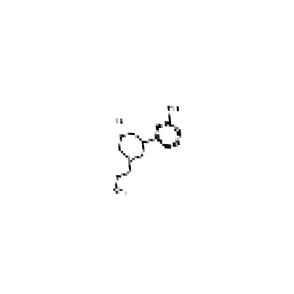 Br.CCCN1CCCC(c2cccc(O)c2)C1